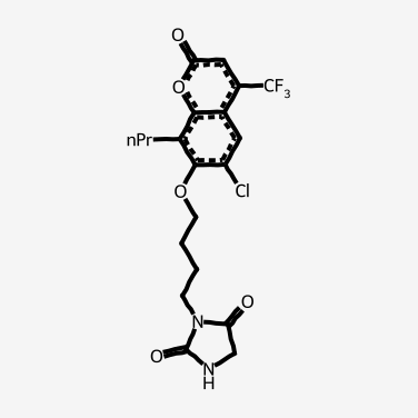 CCCc1c(OCCCCN2C(=O)CNC2=O)c(Cl)cc2c(C(F)(F)F)cc(=O)oc12